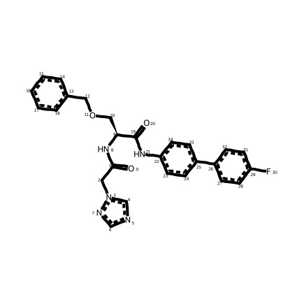 O=C(Cn1cncn1)N[C@@H](COCc1ccccc1)C(=O)Nc1ccc(-c2ccc(F)cc2)cc1